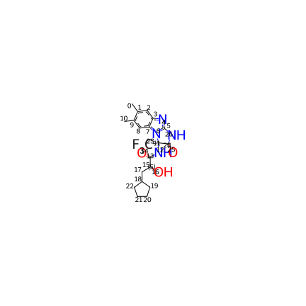 Cc1cc2nc3n(c2cc1C)C(NC(=O)[C@@H](O)CC1CCCC1)(C(F)(F)F)C(=O)N3